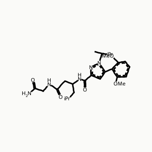 COc1cccc(OC)c1-c1cc(C(=O)NC(CC(=O)NCC(N)=O)CC(C)C)nn1C(C)C(C)C